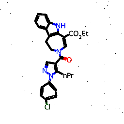 CCCc1c(C(=O)N2C=C(C(=O)OCC)c3[nH]c4ccccc4c3CC2)cnn1-c1ccc(Cl)cc1